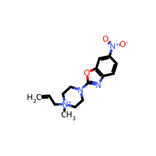 C=CC[N+]1(C)CCN(c2nc3ccc([N+](=O)[O-])cc3o2)CC1